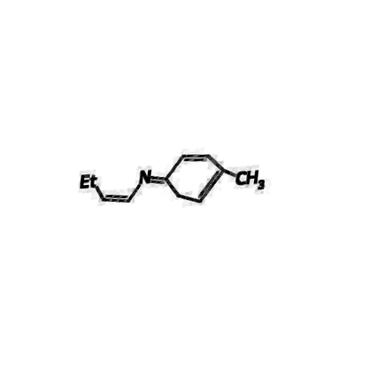 CC/C=C\N=C1\C=CC(C)=CC1